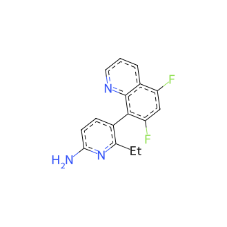 CCc1nc(N)ccc1-c1c(F)cc(F)c2cccnc12